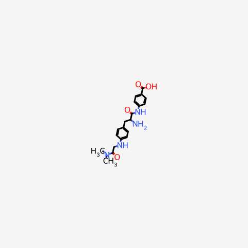 CN(C)C(=O)CNc1ccc(CC(N)C(=O)Nc2ccc(C(=O)O)cc2)cc1